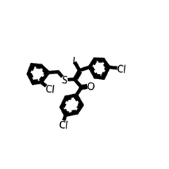 O=C(C(SCc1ccccc1Cl)=C(I)c1ccc(Cl)cc1)c1ccc(Cl)cc1